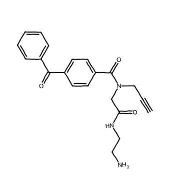 C#CCN(CC(=O)NCCN)C(=O)c1ccc(C(=O)c2ccccc2)cc1